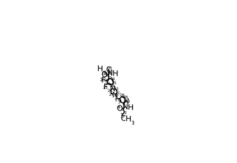 CCCC(=O)Nc1cc(CN2CCN(c3ccc(C(=O)NC)c(F)c3F)CC2)ccn1